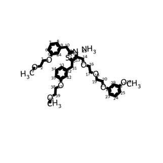 COCCOc1cccc(Cc2nc(COCCOCCOc3cccc(OC)c3)c(Cc3cccc(OCCOC)c3)s2)c1.N